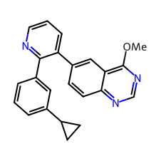 COc1ncnc2ccc(-c3cccnc3-c3cccc(C4CC4)c3)cc12